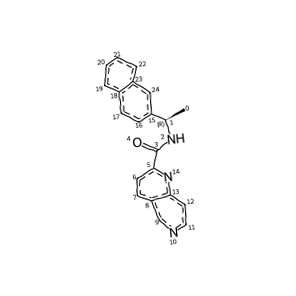 C[C@@H](NC(=O)c1ccc2cnccc2n1)c1ccc2ccccc2c1